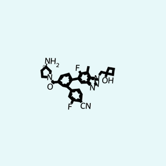 Cc1c(F)c(-c2ccc(C(=O)N3CC[C@H](N)C3)cc2-c2ccc(C#N)c(F)c2)cc2nnn(CC3(O)CCC3)c12